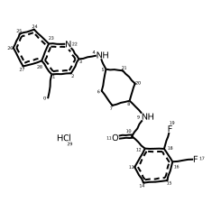 Cc1cc(NC2CCC(NC(=O)c3cccc(F)c3F)CC2)nc2ccccc12.Cl